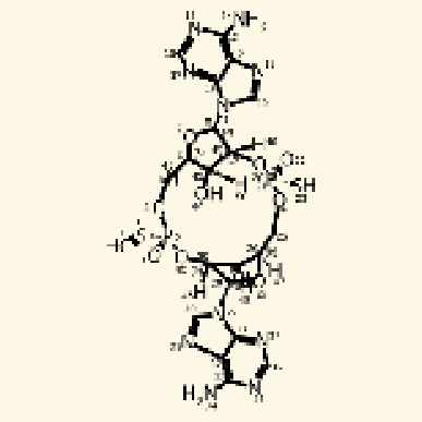 C#S[P@]1(=O)OC[C@H]2O[C@@H](n3cnc4c(N)ncnc43)[C@H](O[P@](=O)(S)OC[C@H]3O[C@@H](n4cnc5c(N)ncnc54)[C@H](O1)[C@@H]3O)[C@@H]2O